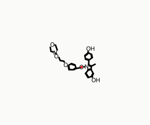 Cc1c(-c2ccc(O)cc2)n(OCc2ccc(OCCCON3CCOCC3)cc2)c2ccc(O)cc12